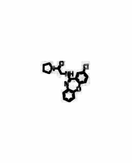 O=C(CNC1=Nc2ccccc2Oc2ccc(Cl)cc21)N1CCCC1